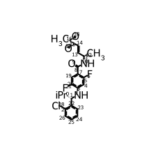 CC(C)[C@H](Nc1cc(F)c(C(=O)N[C@H](C)/C=C/S(C)(=O)=O)cc1F)c1ccccc1Cl